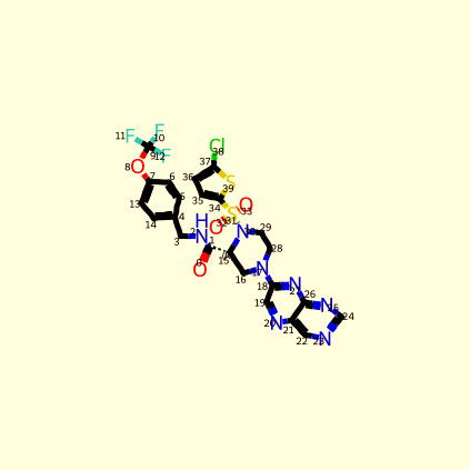 O=C(NCc1ccc(OC(F)(F)F)cc1)[C@H]1CN(c2cnc3cncnc3n2)CCN1S(=O)(=O)c1ccc(Cl)s1